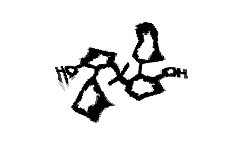 CC(C)(c1cccc(O)c1-c1ccccc1)c1cccc(O)c1-c1ccccc1